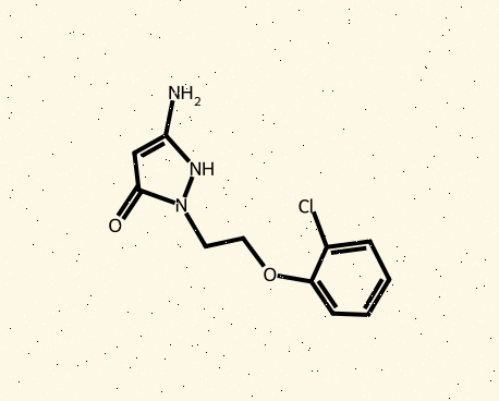 Nc1cc(=O)n(CCOc2ccccc2Cl)[nH]1